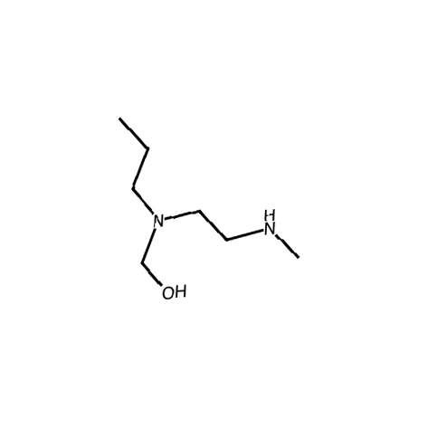 CCCN(CO)CCNC